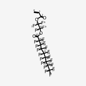 C=CC(=O)OC(F)(F)C(F)(F)OC(=O)C(F)(F)C(F)(F)C(F)(F)C(F)(F)C(F)(F)C(F)(F)C(F)(F)C(F)(F)F